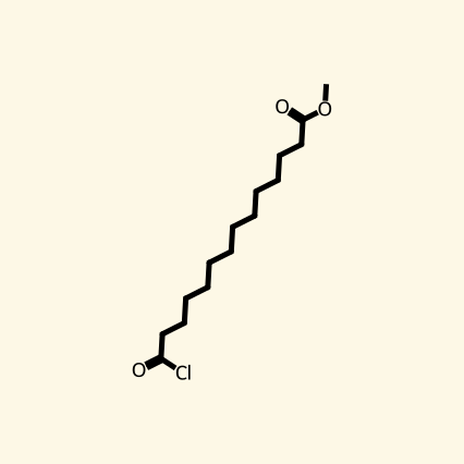 COC(=O)CCCCCCCCCCCCC(=O)Cl